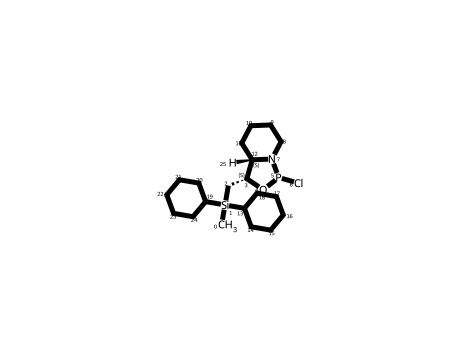 C[Si](C[C@H]1OP(Cl)N2CCCC[C@@H]12)(C1CCCCC1)C1CCCCC1